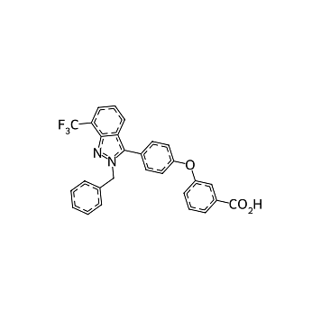 O=C(O)c1cccc(Oc2ccc(-c3c4cccc(C(F)(F)F)c4nn3Cc3ccccc3)cc2)c1